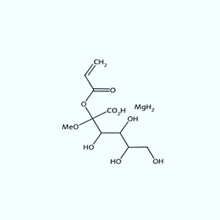 C=CC(=O)OC(OC)(C(=O)O)C(O)C(O)C(O)CO.[MgH2]